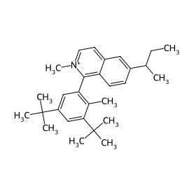 CCC(C)c1ccc2c(-c3cc(C(C)(C)C)cc(C(C)(C)C)c3C)[n+](C)ccc2c1